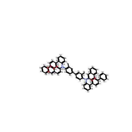 Cc1cc(-c2ccc(N(c3ccc4ccccc4c3)c3ccccc3-c3ccc(-c4ccccc4)cc3)c(C)c2)ccc1N(c1ccc2ccccc2c1)c1ccccc1-c1ccc(-c2ccccc2)cc1